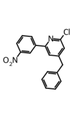 O=[N+]([O-])c1cccc(-c2cc(Cc3ccccc3)cc(Cl)n2)c1